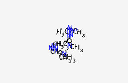 Cc1cc(N=Nc2n(C)nc[n+]2C)ccc1N(C)CCCCN(C)c1ccc(N=Nc2n(C)nc[n+]2C)cc1C